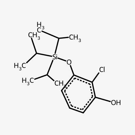 CC(C)[Si](Oc1cccc(O)c1Cl)(C(C)C)C(C)C